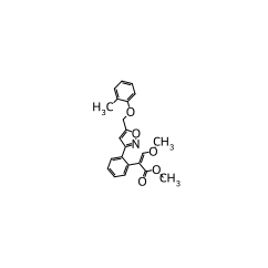 COC=C(C(=O)OC)c1ccccc1-c1cc(COc2ccccc2C)on1